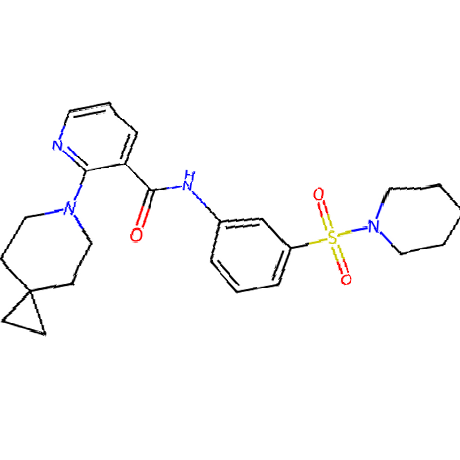 O=C(Nc1cccc(S(=O)(=O)N2CCCCC2)c1)c1cccnc1N1CCC2(CC1)CC2